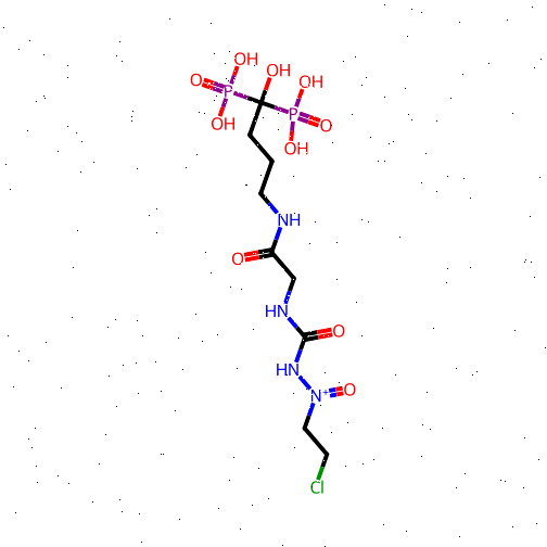 O=C(CNC(=O)N[N+](=O)CCCl)NCCCC(O)(P(=O)(O)O)P(=O)(O)O